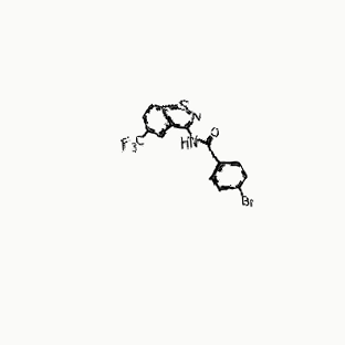 O=C(Nc1nsc2ccc(C(F)(F)F)cc12)c1ccc(Br)cc1